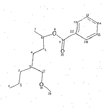 CCCC(CCC(C)OC(=O)c1ccccc1)COC